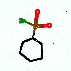 O=S(=O)(Br)C1CCCCC1